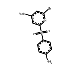 CNc1cc(Br)nc(S(=O)(=O)c2ccc(N)cc2)c1